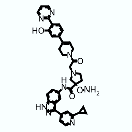 NO[C@@]1(C(=O)Nc2ccc3[nH]nc(-c4ccnc(C5CC5)c4)c3c2)CCN(CC(=O)N2CC=C(c3ccc(-c4ncccn4)c(O)c3)CC2)C1